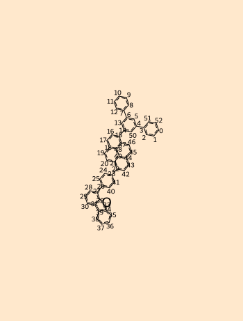 c1ccc(-c2cc(-c3ccccc3)cc(-c3ccc4ccc5c(-c6ccc(-c7cccc8c7oc7ccccc78)cc6)ccc6ccc3c4c65)c2)cc1